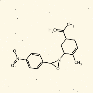 C=C(C)C1CC=C(C)C(N2OC2c2ccc([N+](=O)[O-])cc2)C1